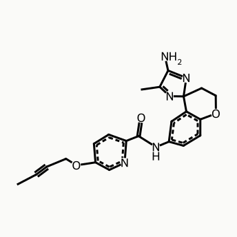 CC#CCOc1ccc(C(=O)Nc2ccc3c(c2)C2(CCO3)N=C(C)C(N)=N2)nc1